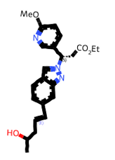 CCOC(=O)C[C@@H](c1ccc(OC)nc1)n1cc2ccc(/C=C/CC(C)O)cc2n1